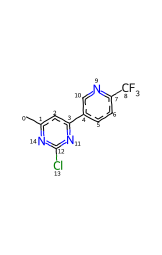 Cc1cc(-c2ccc(C(F)(F)F)nc2)nc(Cl)n1